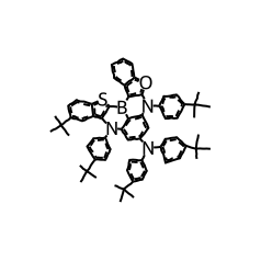 CC(C)(C)c1ccc(N(c2ccc(C(C)(C)C)cc2)c2cc3c4c(c2)N(c2ccc(C(C)(C)C)cc2)c2c(sc5ccc(C(C)(C)C)cc25)B4c2c(oc4ccccc24)N3c2ccc(C(C)(C)C)cc2)cc1